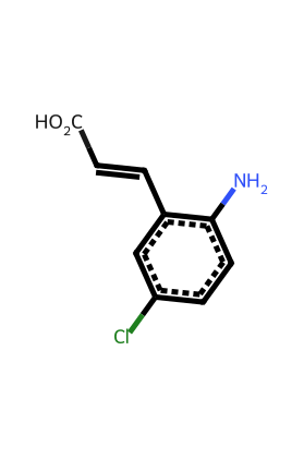 Nc1ccc(Cl)cc1C=CC(=O)O